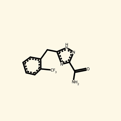 NC(=O)c1n[nH]c(Cc2ccccc2C(F)(F)F)n1